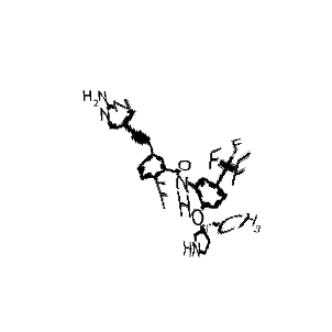 CC[C@]1(Oc2ccc(C(F)(F)F)cc2NC(=O)c2cc(C#Cc3cnc(N)nc3)ccc2F)CCNC1